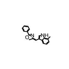 Cc1cccc2c(C=C3COC(c4ccccc4)=N3)c[nH]c12